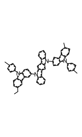 CCc1ccc2c(c1)c1cc(-n3c4ccccc4c4cc5c(cc43)c3ccccc3n5-c3ccc4c(c3)c3cc(C)ccc3n4-c3ccc(C)cc3)ccc1n2-c1ccc(C)cc1